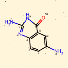 Nc1ccc2nc(N)[nH]c(=O)c2c1